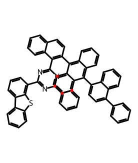 c1ccc(-c2nc(-c3c(-c4c5ccccc5c(-c5ccc(-c6ccccc6)c6ccccc56)c5ccccc45)ccc4ccccc34)nc(-c3cccc4c3sc3ccccc34)n2)cc1